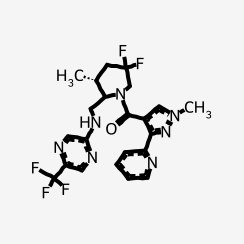 C[C@@H]1CC(F)(F)CN(C(=O)c2cn(C)nc2-c2ccccn2)C1CNc1cnc(C(F)(F)F)cn1